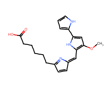 COc1cc(-c2ccc[nH]2)[nH]c1C=C1C=CC(CCCCCC(=O)O)=N1